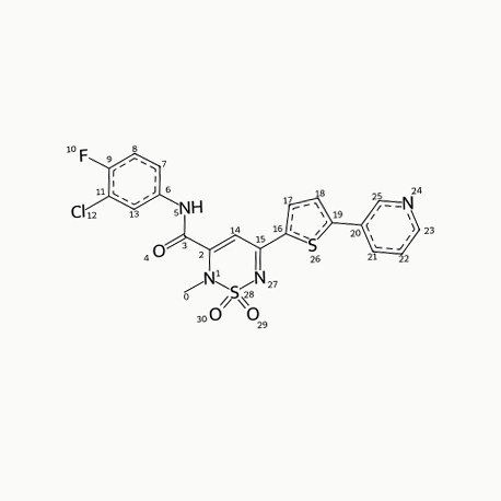 CN1C(C(=O)Nc2ccc(F)c(Cl)c2)=CC(c2ccc(-c3cccnc3)s2)=NS1(=O)=O